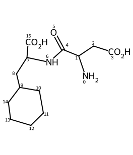 NC(CC(=O)O)C(=O)NC(CC1CCCCC1)C(=O)O